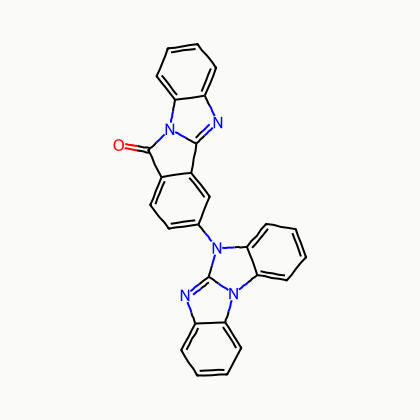 O=C1c2ccc(-n3c4ccccc4n4c5ccccc5nc34)cc2-c2nc3ccccc3n21